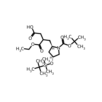 CCOC(=O)C(CC(=O)O)C[C@@H]1C[C@@H](O[Si](C)(C)C(C)(C)C)CN1C(=O)OC(C)(C)C